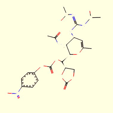 CB(O)/N=C(/NB(C)O)N[C@H]1C=C(C)O[C@@H](C(OC(=O)Oc2ccc([N+](=O)[O-])cc2)[C@H]2COC(=O)O2)[C@@H]1NC(C)=O